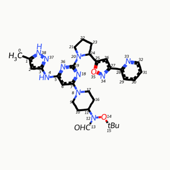 Cc1cc(Nc2cc(N3CCC(N(C=O)OC(C)(C)C)CC3)nc(N3CCCC3c3cc(-c4ccccn4)no3)n2)n[nH]1